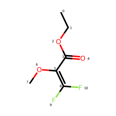 CCOC(=O)C(OC)=C(F)F